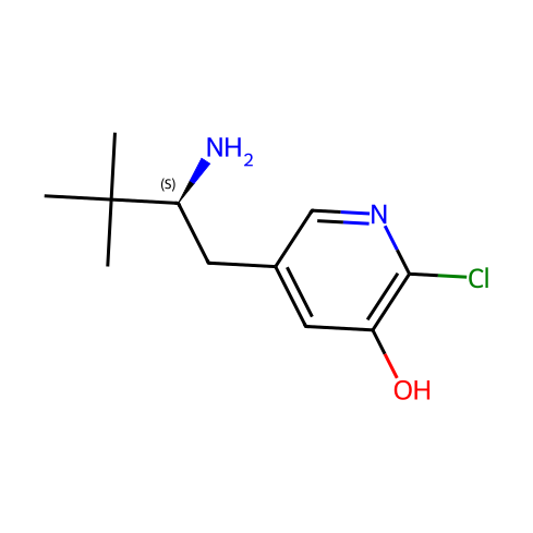 CC(C)(C)[C@@H](N)Cc1cnc(Cl)c(O)c1